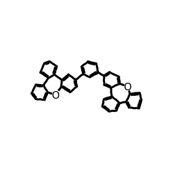 c1cc(-c2ccc3c(c2)-c2ccccc2-c2ccccc2O3)cc(-c2ccc3c(c2)-c2ccccc2-c2ccccc2O3)c1